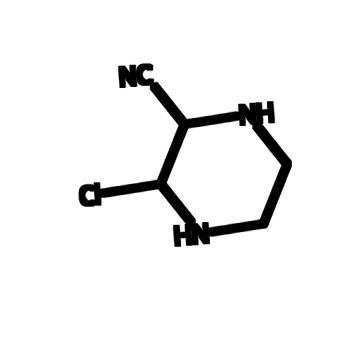 N#CC1NCCNC1Cl